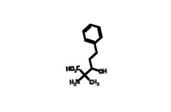 CC(N)(C(=O)O)C(O)CCc1ccccc1